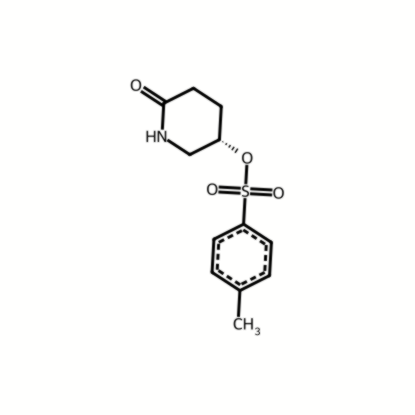 Cc1ccc(S(=O)(=O)O[C@H]2CCC(=O)NC2)cc1